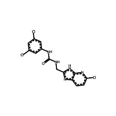 O=C(NCc1nc2ccc(Cl)nc2[nH]1)Nc1cc(Cl)cc(Cl)c1